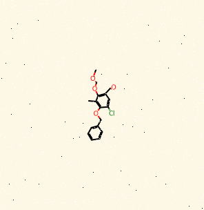 COCOc1c(C=O)cc(Cl)c(OCc2ccccc2)c1C